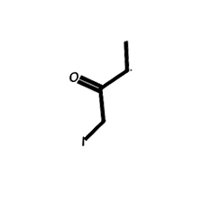 C[CH]C(=O)CI